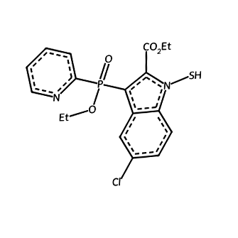 CCOC(=O)c1c(P(=O)(OCC)c2ccccn2)c2cc(Cl)ccc2n1S